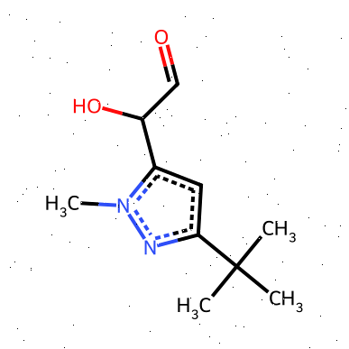 Cn1nc(C(C)(C)C)cc1C(O)C=O